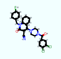 N#Cc1c(N2CCN(C(=O)c3ccc(Cl)c(Cl)c3)CC2)c2ccccc2n(Cc2ccc(F)cc2)c1=O